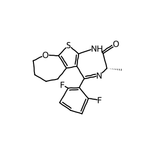 C[C@@H]1N=C(c2c(F)cccc2F)c2c(sc3c2CCCCO3)NC1=O